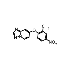 Cc1cc([N+](=O)[O-])ccc1Oc1ccn2ncnc2c1